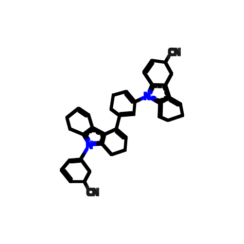 N#CC1C=CC=C(n2c3c(c4c2CCC=C4C2=CC(n4c5c(c6c4=CCCC=6)CC(C#N)C=C5)=CCC2)C=CCC3)C1